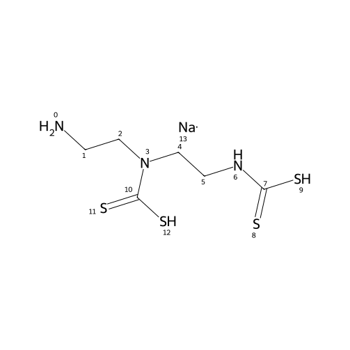 NCCN(CCNC(=S)S)C(=S)S.[Na]